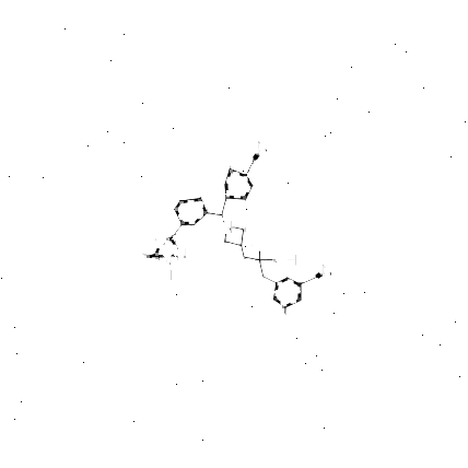 CC(F)(Cc1cc(F)cc(C#N)c1)CC1CN(C(c2ccc(C#N)cc2)c2cccc(-c3n[nH]c(=O)o3)c2)C1